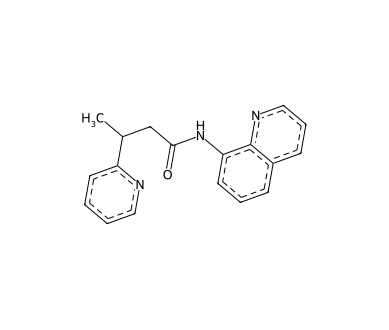 CC(CC(=O)Nc1cccc2cccnc12)c1ccccn1